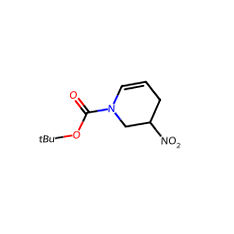 CC(C)(C)OC(=O)N1C=CCC([N+](=O)[O-])C1